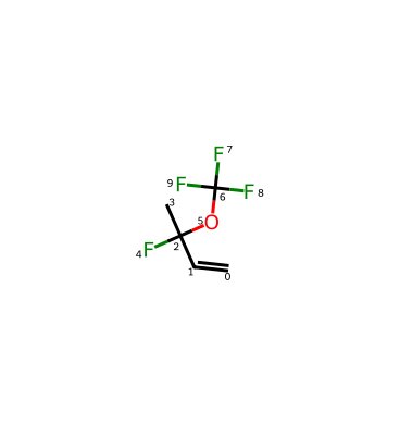 C=CC(C)(F)OC(F)(F)F